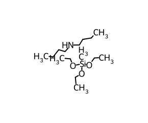 CCCCNCCCC.CCO[Si](C)(OCC)OCC